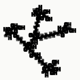 CC(=O)NC1C(OCCCCCCNC(=O)CCC(NC(=O)CCC(NC(=O)CCCCCCCCCNC(=O)[C@H]2C[C@H](O)[C@@H](CO)O2)C(=O)NCCCCCCOC2O[C@H](CO)C(O)C(O)C2NC(C)=O)C(=O)NCCCCCCOC2O[C@H](CO)C(O)C(O)C2NC(C)=O)O[C@H](CO)C(O)C1O